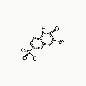 O=c1[nH]c2ccc(S(=O)(=O)Cl)cc2cc1Br